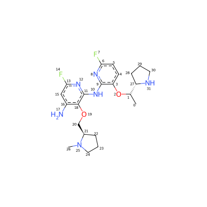 CC(Oc1ccc(F)nc1Nc1nc(F)cc(N)c1OC[C@H]1CCCN1C)[C@@H]1CCCN1